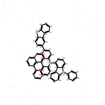 c1ccc(-c2cccc3cccc(-c4ccccc4N(c4ccc(-c5ccc6oc7ccccc7c6c5)cc4)c4cccc5c4c4ccccc4n5-c4ccccc4)c23)cc1